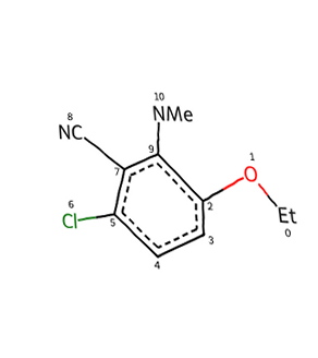 CCOc1ccc(Cl)c(C#N)c1NC